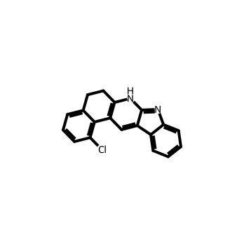 Clc1cccc2c1-c1cc3c4ccccc4nc-3[nH]c1CC2